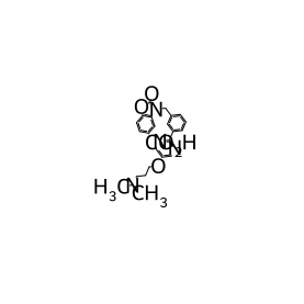 CN(C)CCCOc1cnc(-c2cccc(Cn3c(=O)oc4ccc(C(=O)O)cc43)c2)nc1